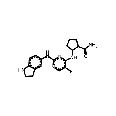 NC(=O)C1CCCC1Nc1nc(Nc2ccc3c(c2)CCN3)ncc1F